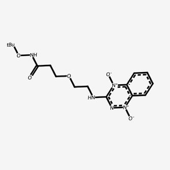 CC(C)(C)ONC(=O)CCOCCNc1n[n+]([O-])c2ccccc2[n+]1[O-]